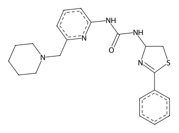 O=C(Nc1cccc(CN2CCCCC2)n1)NC1CSC(c2ccccc2)=N1